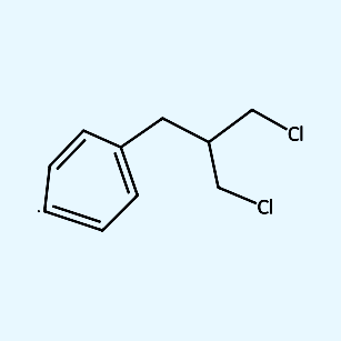 ClCC(CCl)Cc1cc[c]cc1